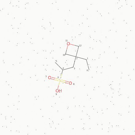 CCC1(CC(C)S(=O)(=O)O)COC1